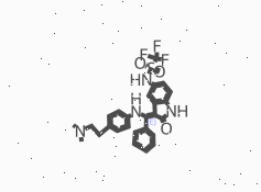 CN(C)CCc1ccc(N/C(=C2/C(=O)Nc3ccc(NS(=O)(=O)C(F)(F)F)cc32)c2ccccc2)cc1